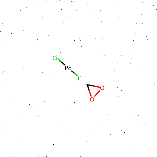 C1OO1.[Cl][Pd][Cl]